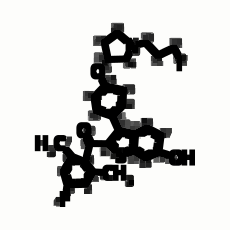 Cc1cc(F)cc(C)c1C(=O)c1sc2cc(O)ccc2c1-c1ccc(O[C@@H]2CCN(CCCF)C2)cc1